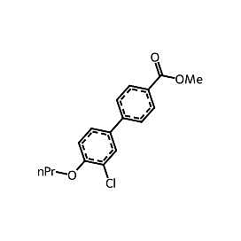 CCCOc1ccc(-c2ccc(C(=O)OC)cc2)cc1Cl